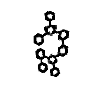 c1ccc(-c2cc(-c3cccc(-c4cccc(-c5nc(-c6ccccc6)nc(-c6ccccc6)n5)c4)c3)nc(-c3ccccc3-c3ccccc3)n2)cc1